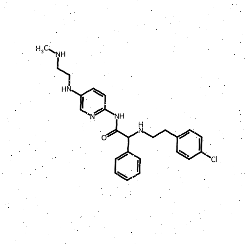 CNCCNc1ccc(NC(=O)C(NCCc2ccc(Cl)cc2)c2ccccc2)nc1